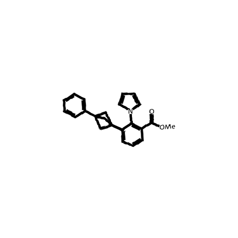 COC(=O)c1cccc(C23CC(c4ccccc4)(C2)C3)c1-n1cccc1